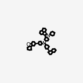 c1ccc(-n2c3c(c4cc(N(c5ccc(-c6ccc7oc8ccccc8c7c6)cc5)c5ccc(-c6cccc7ccccc67)cc5)ccc42)-c2cccc4cccc-3c24)cc1